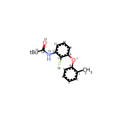 Cc1ccccc1Oc1cccc(NC(=O)C(C)(C)C)c1F